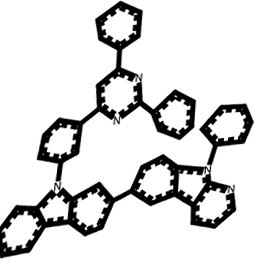 c1ccc(-c2cc(-c3cccc(-n4c5ccccc5c5ccc(-c6ccc7c(c6)c6cccnc6n7-c6ccccc6)cc54)c3)nc(-c3ccccc3)n2)cc1